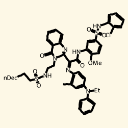 CCCCCCCCCCCCS(=O)(=O)NCCn1c(/C(=N/c2ccc(N(CC)c3ccccc3)cc2C)C(=O)Nc2cc(S(=O)(=O)Nc3ccccc3Cl)ccc2OC)nc2ccccc2c1=O